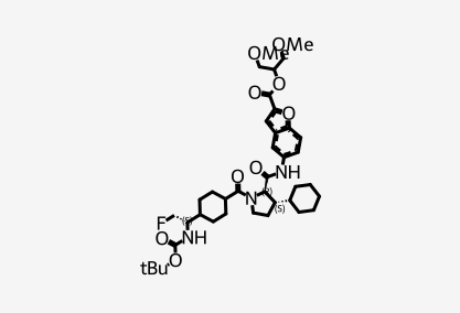 COCC(COC)OC(=O)c1cc2cc(NC(=O)[C@H]3[C@H](C4CCCCC4)CCN3C(=O)C3CCC([C@@H](CF)NC(=O)OC(C)(C)C)CC3)ccc2o1